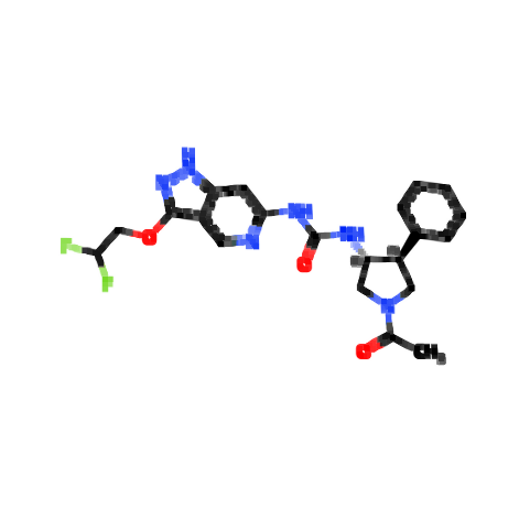 CC(=O)N1C[C@H](NC(=O)Nc2cc3[nH]nc(OCC(F)F)c3cn2)[C@@H](c2ccccc2)C1